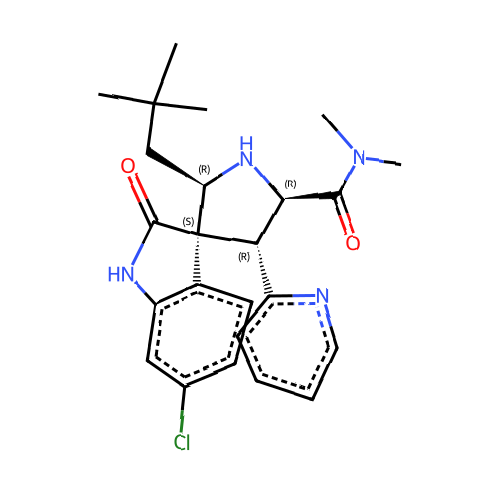 CN(C)C(=O)[C@@H]1N[C@H](CC(C)(C)C)[C@]2(C(=O)Nc3cc(Cl)ccc32)[C@H]1c1ccccn1